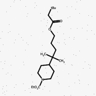 CCOC(=O)N1CCC(C(C)(C)CCCOC(=O)CC(C)(C)C)CC1